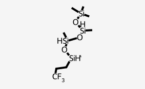 C[SiH](CCC(F)(F)F)O[SiH](C)O[SiH](C)O[Si](C)(C)C